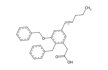 CCC/C=C/c1cc(CC(=O)O)c(Cc2ccccc2)c(OCc2ccccc2)c1